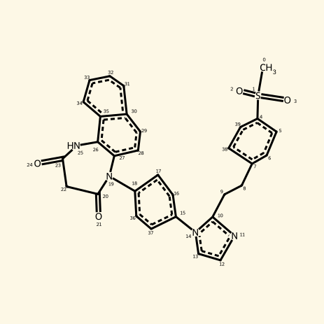 CS(=O)(=O)c1ccc(CCc2nccn2-c2ccc(N3C(=O)CC(=O)Nc4c3ccc3ccccc43)cc2)cc1